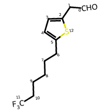 O=CCc1ccc(CCCCCC(F)(F)F)s1